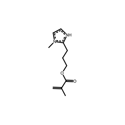 C=C(C)C(=O)OCCCc1[nH]cc[n+]1C